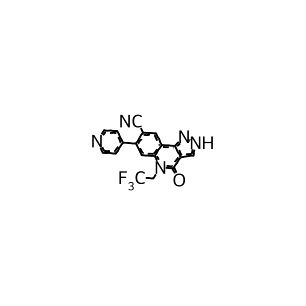 N#Cc1cc2c3n[nH]cc3c(=O)n(CC(F)(F)F)c2cc1-c1ccncc1